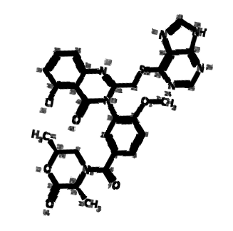 COc1ccc(C(=O)N2C[C@H](C)OC(=O)[C@@H]2C)cc1-n1c(CSc2ncnc3[nH]cnc23)nc2cccc(Cl)c2c1=O